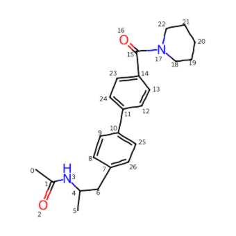 CC(=O)NC(C)Cc1ccc(-c2ccc(C(=O)N3CCCCC3)cc2)cc1